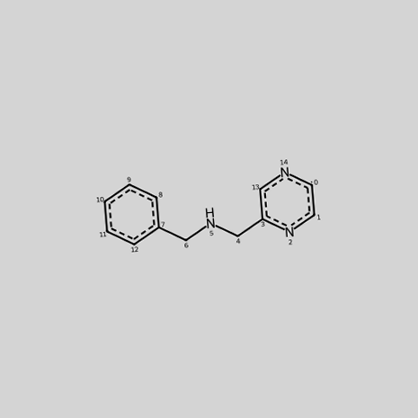 [c]1cnc(CNCc2ccccc2)cn1